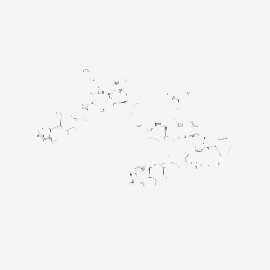 C/C(=C\C(=O)N[C@H]1CCc2cccc3c2N(C1=O)C(C(=O)N[C@@H](CCC(N)=O)[C@@H](C)OCc1ccc(CCCCC(=O)N[C@H](C(=O)N2C[C@H](O)C[C@H]2C(=O)NCc2ccc(-c4scnc4C)cc2)C(C)(C)C)cc1)C3)c1ccc(CP(=O)(O)O)cc1